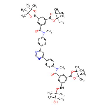 CN(C(=O)c1cc(BOC(C)(C)C(C)(C)O)cc(B2OC(C)(C)C(C)(C)O2)c1)c1ccc(-c2cc(-c3ccc(N(C)C(=O)c4cc(B5OC(C)(C)C(C)(C)O5)cc(B5OC(C)(C)C(C)(C)O5)c4)cc3)ncn2)cc1